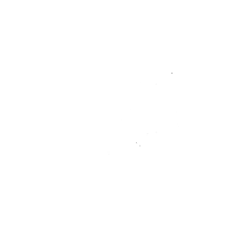 CCOC(=O)c1cc(=O)c2c(C(=O)O)ccc(Cl)c2[nH]1